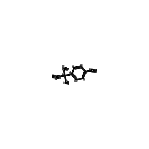 CCCC(C)(CC)c1ccc(O)cc1